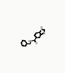 O=C(NCc1ccccc1)c1ccc2[nH][c]nc2c1